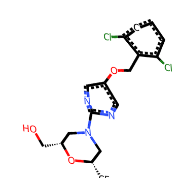 OC[C@@H]1CN(c2ncc(OCc3c(Cl)cccc3Cl)cn2)C[C@H](C(F)(F)F)O1